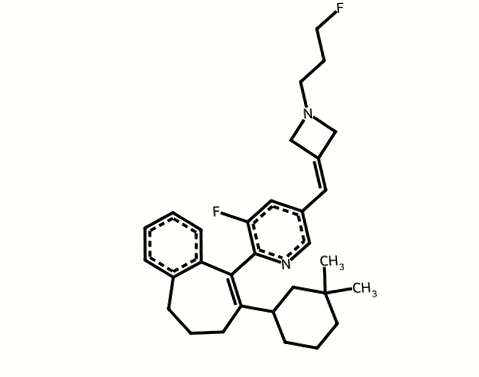 CC1(C)CCCC(C2=C(c3ncc(C=C4CN(CCCF)C4)cc3F)c3ccccc3CCC2)C1